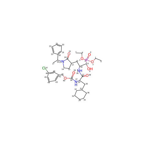 CCOP(=O)(OCC)C(O)C(CC1CCN(C(C)c2ccccc2)C1=O)NC(=O)C(CC1CCCCC1)NC(=O)OCc1cccc(Cl)c1